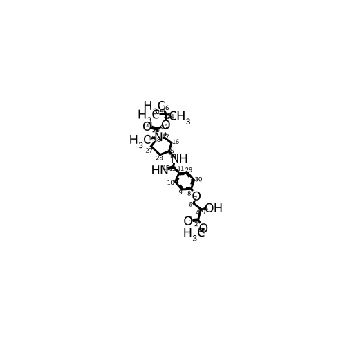 COC(=O)[C@H](O)COc1ccc(C(=N)NC2CC[N+](C)(C(=O)OC(C)(C)C)CC2)cc1